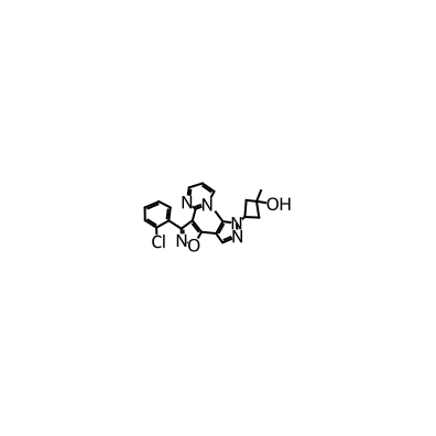 Cc1c(-c2onc(-c3ccccc3Cl)c2-c2ncccn2)cnn1C1CC(C)(O)C1